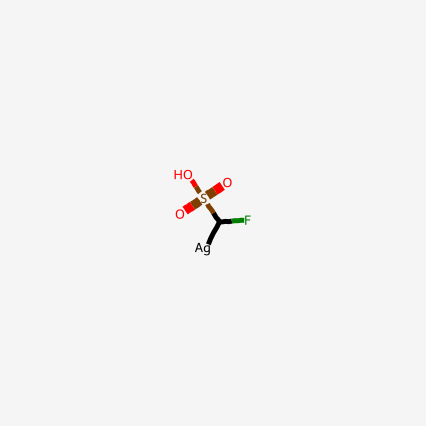 O=S(=O)(O)[CH](F)[Ag]